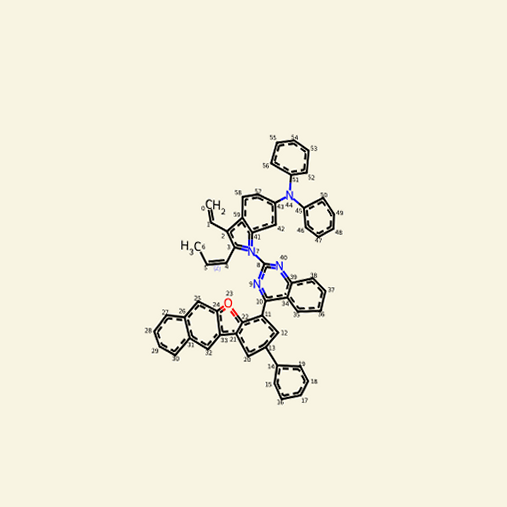 C=Cc1c(/C=C\C)n(-c2nc(-c3cc(-c4ccccc4)cc4c3oc3cc5ccccc5cc34)c3ccccc3n2)c2cc(N(c3ccccc3)c3ccccc3)ccc12